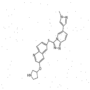 Cn1cc(-c2ccc3nnc(Sc4ccc5ncc(OC6CCNC6)cc5c4)n3c2)cn1